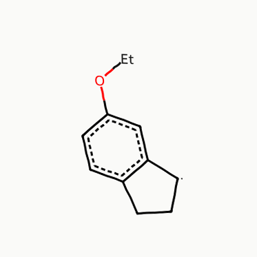 CCOc1ccc2c(c1)[CH]CC2